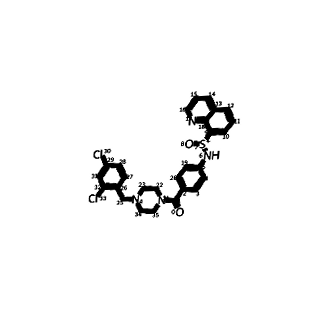 O=C(c1ccc(N[S+]([O-])c2cccc3cccnc23)cc1)N1CCN(Cc2ccc(Cl)cc2Cl)CC1